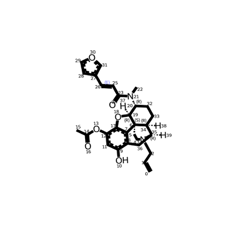 C=CCN1CC[C@]23c4c5c(O)cc(OC(C)=O)c4O[C@H]2[C@H](N(C)C(=O)/C=C/c2ccoc2)CC[C@H]3[C@H]1C5